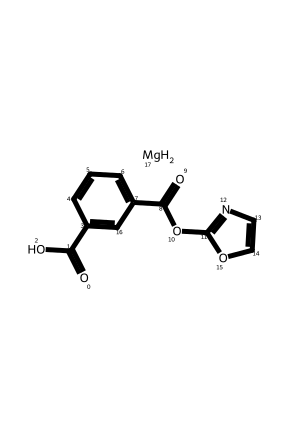 O=C(O)c1cccc(C(=O)Oc2ncco2)c1.[MgH2]